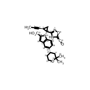 CC#C[C@H]1C[C@]1(C1=NOC(=C=O)N1)n1c(C(=O)O)cc2cc([C@H]3CCOC(C)(C)C3)ccc21